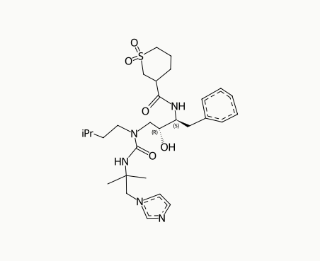 CC(C)CCN(C[C@@H](O)[C@H](Cc1ccccc1)NC(=O)C1CCCS(=O)(=O)C1)C(=O)NC(C)(C)Cn1ccnc1